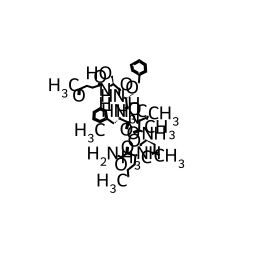 CCCCC(NC(=O)[C@H](CC(C)C)NC(=O)[C@@H](NC(=O)[C@H](Cc1ccccc1C)NC(=O)[C@@H](COCc1ccccc1)NC(=O)[C@H](CO)NC(=O)CCC(C)=O)C(C)(C)C)C(=O)C(N)=O